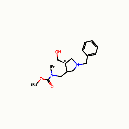 CC(C)N(CC1CN(Cc2ccccc2)C[C@@H]1CO)C(=O)OC(C)(C)C